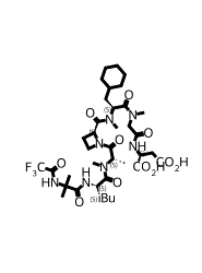 CC[C@H](C)[C@H](NC(=O)C(C)(C)NC(=O)C(F)(F)F)C(=O)N(C)[C@@H](C)C(=O)N1CC[C@H]1C(=O)N(C)[C@@H](CC1CCCCC1)C(=O)N(C)CC(=O)N[C@@H](CC(=O)O)C(=O)O